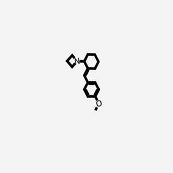 COc1ccc(C=C2CCCCC2N2CCC2)cc1